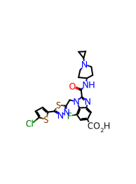 O=C(O)c1cc(F)c2c(c1)nc(C(=O)NC1CCN(C3CC3)CC1)n2Cc1nnc(-c2ccc(Cl)s2)s1